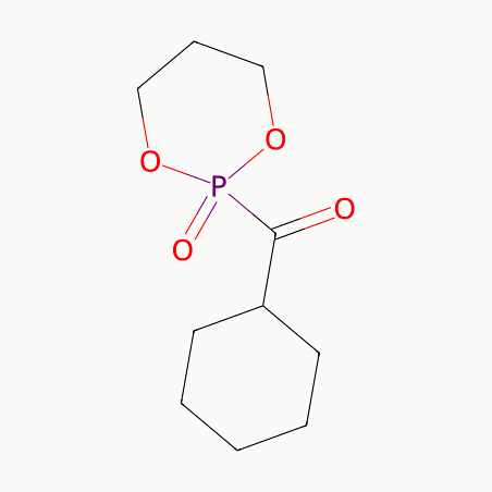 O=C(C1CCCCC1)P1(=O)OCCCO1